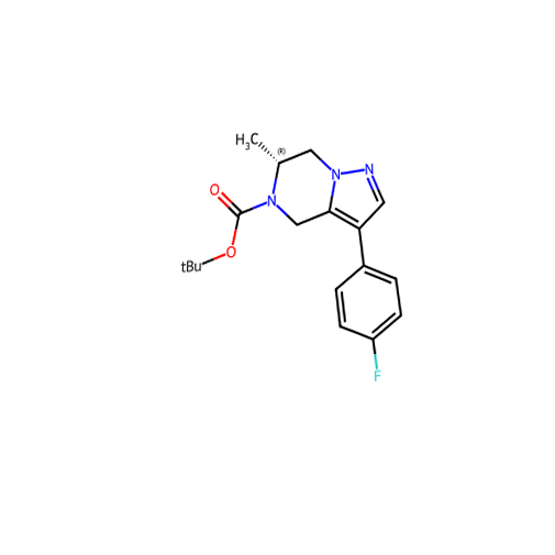 C[C@@H]1Cn2ncc(-c3ccc(F)cc3)c2CN1C(=O)OC(C)(C)C